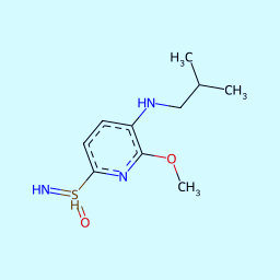 COc1nc([SH](=N)=O)ccc1NCC(C)C